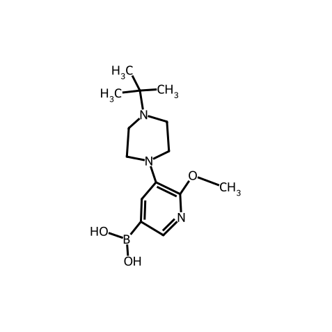 COc1ncc(B(O)O)cc1N1CCN(C(C)(C)C)CC1